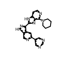 c1ncc(-c2cc3c(-c4nc5c(N6CCCCC6)nccc5[nH]4)n[nH]c3cn2)cn1